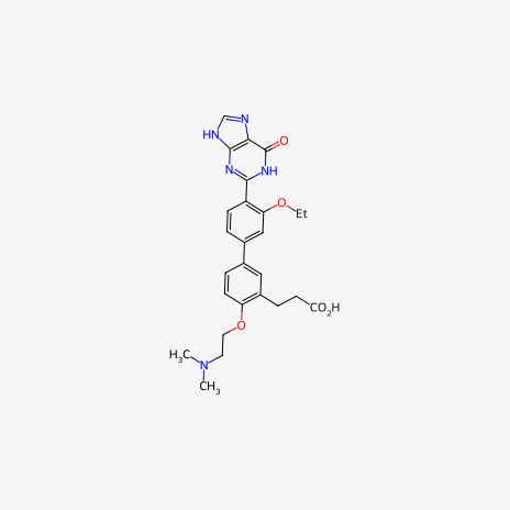 CCOc1cc(-c2ccc(OCCN(C)C)c(CCC(=O)O)c2)ccc1-c1nc2[nH]cnc2c(=O)[nH]1